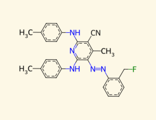 Cc1ccc(Nc2nc(Nc3ccc(C)cc3)c(N=Nc3ccccc3CF)c(C)c2C#N)cc1